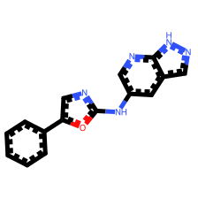 c1ccc(-c2cnc(Nc3cnc4[nH]ncc4c3)o2)cc1